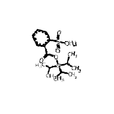 CC(C)[Si](OC(=O)c1ccccc1S(=O)(=O)O)(C(C)C)C(C)C.[Li]